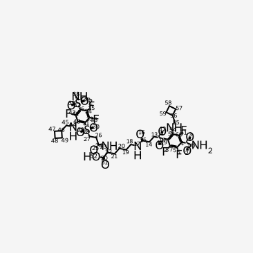 NS(=O)(=O)c1c(F)c(F)c(S(=O)(=O)CCC(=O)NCCCCC(NC(=O)CCS(=O)(=O)c2c(F)c(F)c(S(N)(=O)=O)c(F)c2NCC2CCC2)C(=O)O)c(NCC2CCC2)c1F